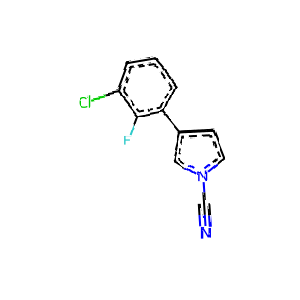 N#Cn1ccc(-c2cccc(Cl)c2F)c1